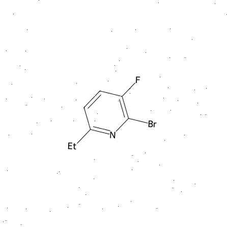 CCc1ccc(F)c(Br)n1